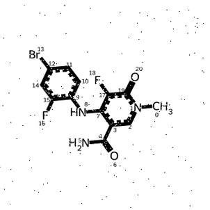 Cn1cc(C(N)=O)c(Nc2ccc(Br)cc2F)c(F)c1=O